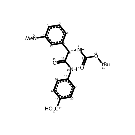 CNc1cccc([C@H](NC(=O)OC(C)(C)C)C(=O)Nc2ccc(C(=O)O)cc2)c1